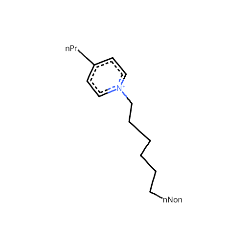 CCCCCCCCCCCCCCC[n+]1ccc(CCC)cc1